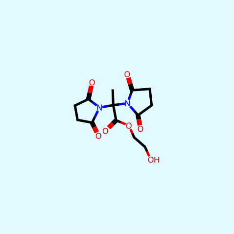 CC(C(=O)OCCO)(N1C(=O)CCC1=O)N1C(=O)CCC1=O